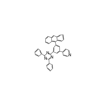 c1ccc(-c2nc(-c3ccccc3)nc(-c3cc(-c4ccncc4)cc(-c4c5ccccc5cc5ccccc45)c3)n2)cc1